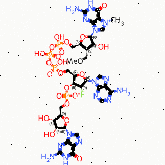 COC[C@H]1[C@@H](O)[C@H](n2c[n+](C)c3c(=O)[nH]c(N)nc32)O[C@@H]1COP(=O)(O)OP(=O)(O)OP(=O)(O)OC[C@H]1O[C@@H](n2cnc3c(N)ncnc32)[C@H](F)[C@@H]1OP(=O)([O-])OC[C@H]1O[C@@H](n2cnc3c(=O)[nH]c(N)nc32)[C@H](O)[C@@H]1O